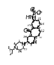 CC(C)N1CCN(c2cnc3ccc4ccc(N[SH](=O)=O)cc4c(=O)c3c2)CC1